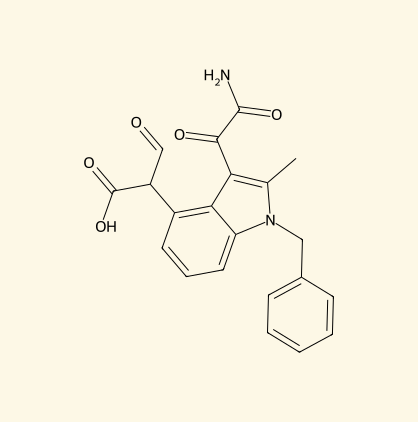 Cc1c(C(=O)C(N)=O)c2c(C(C=O)C(=O)O)cccc2n1Cc1ccccc1